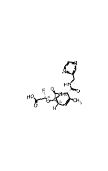 CC1=C[C@H]2CN(C(=O)N2O[C@@H](F)C(=O)O)[C@@H]1C(=O)NCc1cnccn1